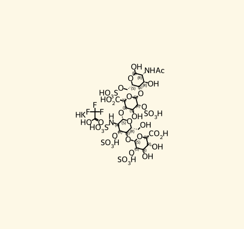 CC(=O)N[C@@H]1[C@@H](O)[C@H](O[C@@H]2O[C@H](C(=O)O)[C@@H](O[C@@H]3O[C@H](CO)[C@@H](O[C@H]4O[C@@H](C(=O)O)[C@H](O)[C@@H](O)[C@@H]4OS(=O)(=O)O)[C@H](OS(=O)(=O)O)[C@H]3NS(=O)(=O)O)[C@H](O)[C@H]2OS(=O)(=O)O)[C@H](COS(=O)(=O)O)O[C@H]1O.O=C(O)C(F)(F)F.[KH]